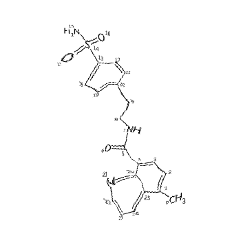 Cc1ccc(C(=O)NCCc2ccc(S(N)(=O)=O)cc2)c2ncccc12